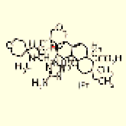 CC(C)[C@@H](C)[C@@]1(C)CC[C@]2(C)[C@H]3CC[C@@H]4[C@@]5(COC[C@]4(C)[C@@H](OCC4(N(C)C)CCOCC4)[C@H](n4nnc(N)n4)C5)C3=CC[C@@]2(C)[C@@H]1C(=O)O